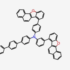 c1ccc(-c2ccc(-c3ccc(N(c4ccc(-c5cccc6oc7c8ccccc8ccc7c56)cc4)c4cccc(-c5cccc6oc7c8ccccc8ccc7c56)c4)cc3)cc2)cc1